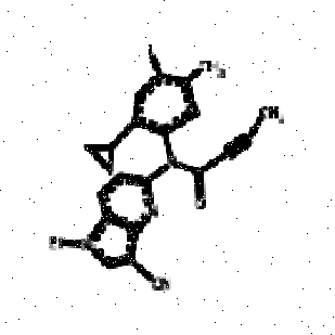 CC#CC(=O)N(c1ccc2c(n1)c(C#N)cn2CC)c1cc(C)c(I)cc1C1CC1